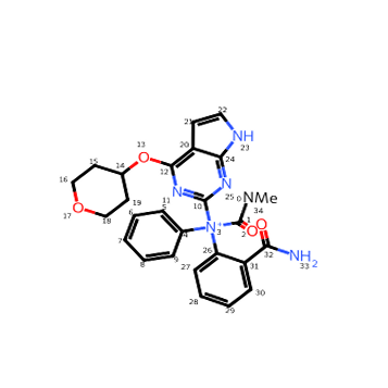 CNC(=O)[N+](c1ccccc1)(c1nc(OC2CCOCC2)c2cc[nH]c2n1)c1ccccc1C(N)=O